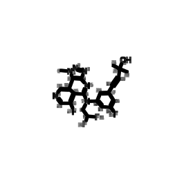 Cn1nnc2nc(N(CC(F)F)c3cc(F)cc(C#CC(C)(C)O)c3)c3c(F)cncc3c21